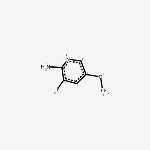 Nc1ncc(OC(F)(F)F)cc1I